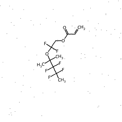 C=CC(=O)OCC(F)(F)OC(C)(C)C(F)(F)C(C)(F)F